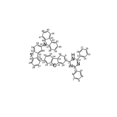 C1=C(C2N=C(c3ccccc3)N=C(c3ccccc3)N2)C=C2Oc3cc(-c4cccc5sc6ccc(-n7c8ccccc8c8ccccc87)cc6c45)ccc3C2C1